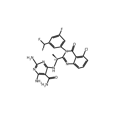 C[C@H](Nc1nc(N)nc(N)c1C(N)=O)c1nc2cccc(Cl)c2c(=O)n1-c1cc(F)cc(C(F)F)c1